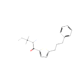 CC(C)(CC(=O)O)C(N)C(=O)c1ccc(CCCc2ccccc2)s1